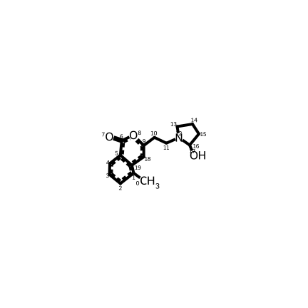 Cc1cccc2c(=O)oc(CCN3CCCC3O)cc12